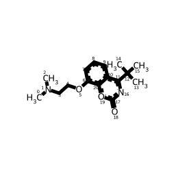 CN(C)CCOc1cccc2c(C(C)(C)C)nc(=O)oc12